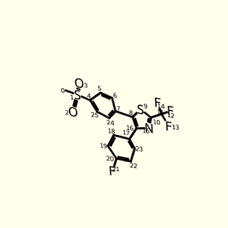 CS(=O)(=O)c1ccc(-c2sc(C(F)(F)F)nc2-c2ccc(F)cc2)cc1